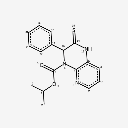 CC(C)OC(=O)N1c2ncccc2NC(=S)C1c1ccccc1